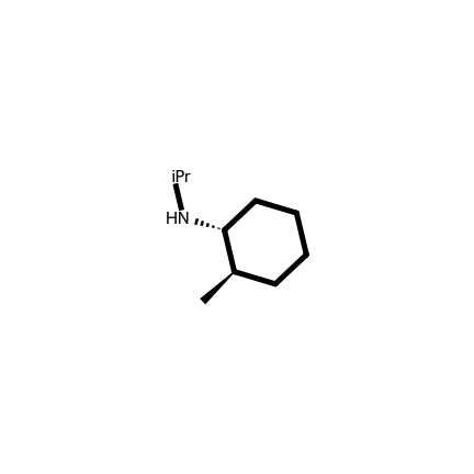 CC(C)N[C@@H]1CCCC[C@H]1C